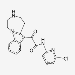 O=C(Nc1cncc(Cl)n1)C(=O)c1c2n(c3ccccc13)CCNCC2